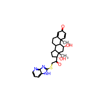 CC12C=CC(=O)C=C1CCC1C2[C@@H](O)CC2(C)C1CC[C@]2(O)C(=O)CSc1nc2ncccc2[nH]1